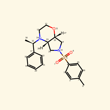 Cc1ccc(S(=O)(=O)N2C[C@H]3OCCN([C@H](C)c4ccccc4)[C@H]3C2)cc1